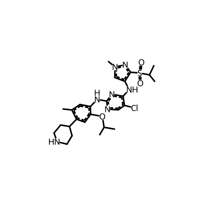 Cc1cc(Nc2ncc(Cl)c(Nc3cn(C)nc3S(=O)(=O)C(C)C)n2)c(OC(C)C)cc1C1CCNCC1